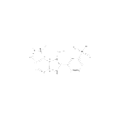 CCc1c(-c2cccc(S(C)(=O)=O)c2)[nH]c2ncc3cnn(C)c3c12